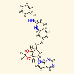 CC1(C)O[C@@H]2[C@@H](CCc3ccc4ccc(NCc5ccccc5)nc4c3)C[C@@H](n3ccc4cncnc43)[C@@H]2O1